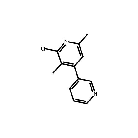 Cc1cc(-c2cccnc2)c(C)c(Cl)n1